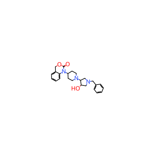 O=C1OCc2ccccc2N1C1CCN(C2CN(Cc3ccccc3)CC2O)CC1